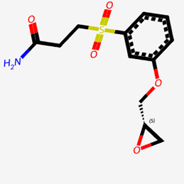 NC(=O)CCS(=O)(=O)c1cccc(OC[C@@H]2CO2)c1